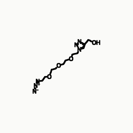 [N-]=[N+]=NCCOCCOCCOCCn1cc(CO)nn1